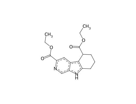 CCOC(=O)c1cc2c3c([nH]c2cn1)CCCC3C(=O)OCC